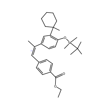 CCOC(=O)c1ccc(/C=C(/C)c2ccc(O[Si](C)(C)C(C)(C)C)c(C3(C)CCCCC3)c2)cc1